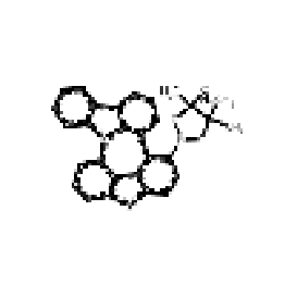 CC1(C)OB(c2ccc3sc4cccc5c4c3c2c2cccc3c4ccccc4n5c32)OC1(C)C